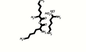 Cl.NCCCCC(N)C(=O)O.NCCCCC(N)C(=O)OC(=O)C(N)CCCCN